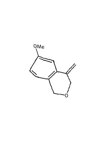 C=C1COCc2ccc(OC)cc21